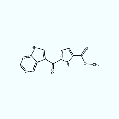 COC(=O)c1ccc(C(=O)c2c[nH]c3ccccc23)[nH]1